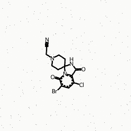 N#CCN1CCC2(CC1)NC(=O)c1c(Cl)cc(Br)c(=O)n12